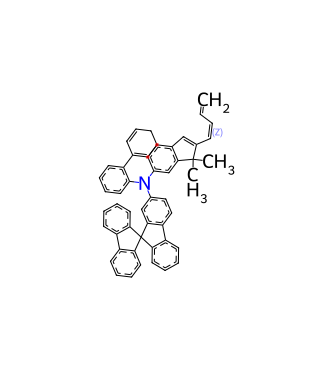 C=C/C=C\C1=Cc2ccc(N(c3ccc4c(c3)C3(c5ccccc5-c5ccccc53)c3ccccc3-4)c3ccccc3C3=CCCC=C3)cc2C1(C)C